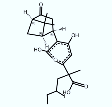 CCC(I)CC(C)(C(=O)O)c1cc(O)c([C@@H]2CC(=O)[C@@H]3C[C@H]2C3(C)C)c(O)c1